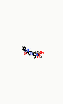 COC(=O)N1C(C)=CC(N2CCC(C(=O)NC3(C)CCC3)CC2)CC1CO